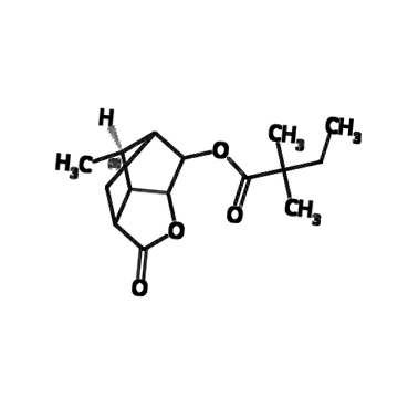 CCC(C)(C)C(=O)OC1C2OC(=O)C3CC1[C@H](C)C32